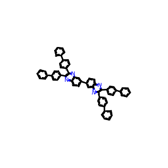 c1ccc(-c2ccc(-c3nc4ccc(-c5ccc6nc(-c7ccc(-c8ccccc8)cc7)c(-c7ccc(-c8ccccc8)cc7)nc6c5)cc4nc3-c3ccc(-c4ccccc4)cc3)cc2)cc1